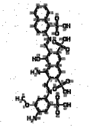 COc1cc(N=Nc2c(S(=O)(=O)O)cc3cc(S(=O)(=O)O)c(N=Nc4ccc5ccccc5c4S(=O)(=O)O)c(O)c3c2N)c(S(=O)(=O)O)cc1N